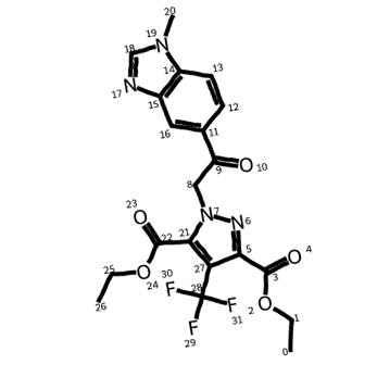 CCOC(=O)c1nn(CC(=O)c2ccc3c(c2)ncn3C)c(C(=O)OCC)c1C(F)(F)F